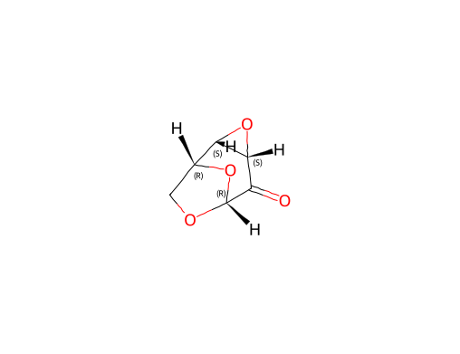 O=C1[C@@H]2OC[C@@H](O2)[C@@H]2O[C@H]12